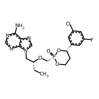 CC[C@H](Cn1cnc2c(N)ncnc21)OC[P@@]1(=O)OCC[C@@H](c2cc(F)cc(Cl)c2)O1